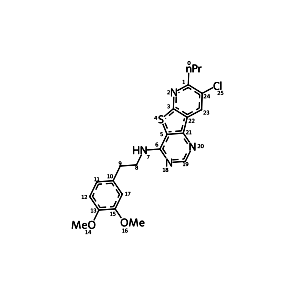 CCCc1nc2sc3c(NCCc4ccc(OC)c(OC)c4)ncnc3c2cc1Cl